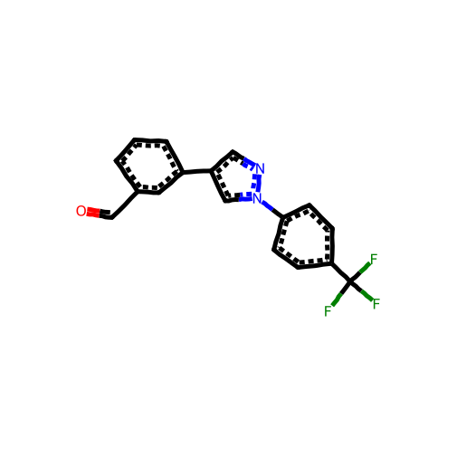 O=Cc1cccc(-c2cnn(-c3ccc(C(F)(F)F)cc3)c2)c1